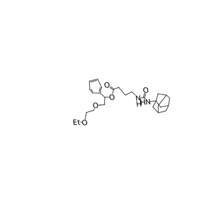 CCOCCOCC(OC(=O)CCCNC(=O)NC12CC3CC(CC(C3)C1)C2)c1ccccc1